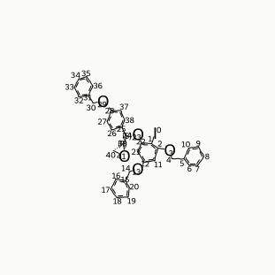 Ic1c(OCc2ccccc2)cc(OCc2ccccc2)cc1O[C@@H](c1ccc(OCc2ccccc2)cc1)[C@H]1CO1